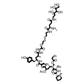 CCC(C)[C@H](NC(=O)[C@H]1CCCCN1C)C(=O)N(COC(=O)CC(C)C)[C@H](CC(OC(C)=O)c1nc(C(=O)N[C@@H](Cc2ccc(O)cc2)C[C@H](C)C(=O)NNC(=O)OCCSSCCNC(=O)[C@@H](N)CCC(=O)NCC[C@@H](O)[C@H](O)[C@H](O)CO)cs1)C(C)C